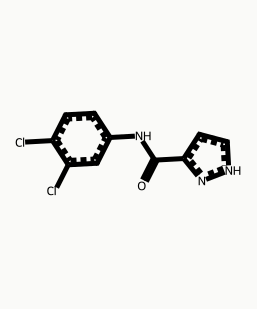 O=C(Nc1ccc(Cl)c(Cl)c1)c1cc[nH]n1